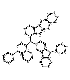 c1ccc(-c2ccc(N(c3ccc4c(c3)c3ccccc3n4-c3ccccc3)c3cccc4c3sc3cc5ccccc5cc34)c3ccccc23)cc1